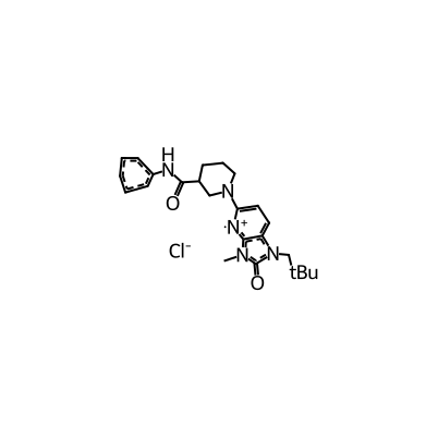 Cn1c2c(n(CC(C)(C)C)c1=O)=CC=C(N1CCCC(C(=O)Nc3ccccc3)C1)[N+]=2.[Cl-]